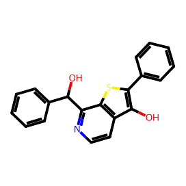 Oc1c(-c2ccccc2)sc2c(C(O)c3ccccc3)nccc12